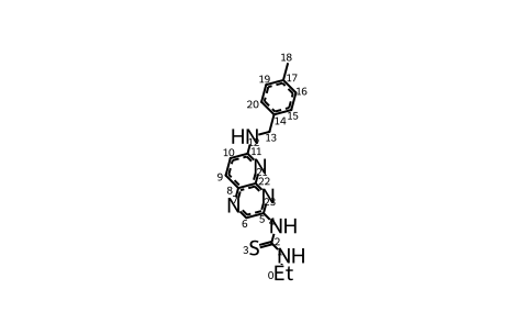 CCNC(=S)Nc1cnc2ccc(NCc3ccc(C)cc3)nc2n1